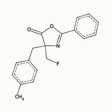 Cc1ccc(CC2(CF)N=C(c3ccccc3)OC2=O)cc1